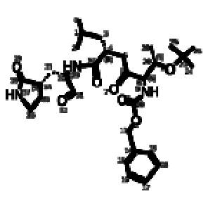 CC(C)C[C@H](CC(=O)[C@@H](NC(=O)OCc1ccccc1)[C@@H](C)OC(C)(C)C)C(=O)N[C@H](C=O)C[C@@H]1CCNC1=O